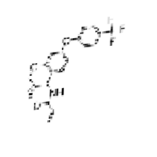 C=CC(=O)NC1c2ccc(Oc3ccc(C(F)(F)F)cc3)cc2OC[C@H]1F